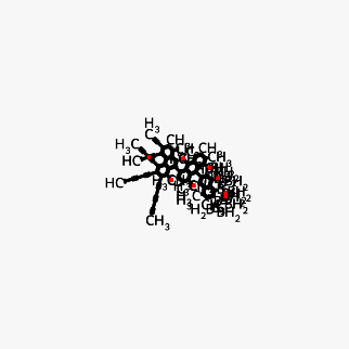 BBB(B)B(B(B)B)c1c(B(B(B)B)B(B)B)c(C)c(C)c2c(C)c(-c3c4c(C)c(C)c(C)c(C)c4c(C)c4c(-c5c(C)c6c(C)c(C)c(C#CC)c(C#CC#C)c6c6c(C#CC#CC)c(C#CC#CC#C)c(C#CC#CC#CC)c(C)c56)c(C)c(C)c(C)c34)c(BB)c(B)c12